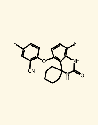 N#Cc1cc(F)ccc1Oc1ccc(F)c2c1C1(CCCCC1)NC(=O)N2